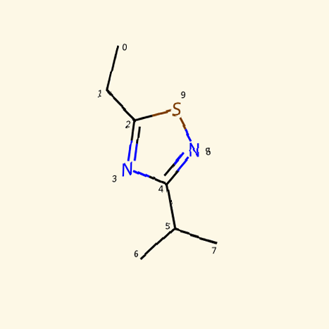 CCc1nc(C(C)C)ns1